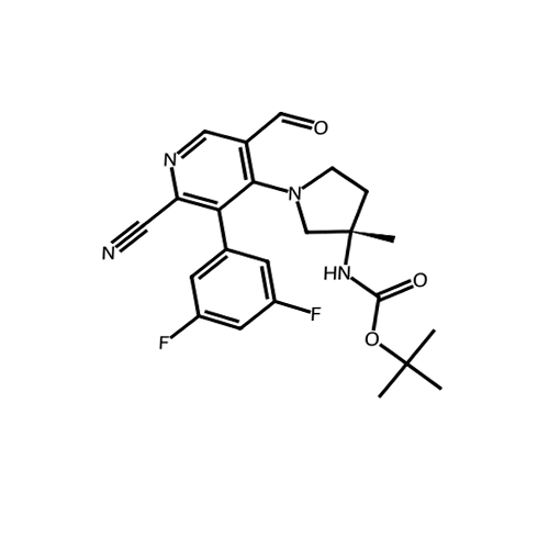 CC(C)(C)OC(=O)N[C@@]1(C)CCN(c2c(C=O)cnc(C#N)c2-c2cc(F)cc(F)c2)C1